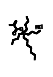 C=C(C)C(=O)OP(CCCC)(CCCC)(CCCC)CCCCCCC.Cl